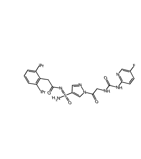 CC(C)c1cccc(C(C)C)c1CC(=O)N=S(N)(=O)c1cnn(C(=O)CNC(=O)Nc2ccc(F)cn2)c1